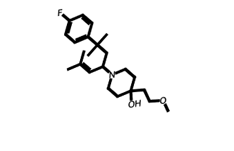 COCCC1(O)CCN(C(C=C(C)C)CC(C)(C)c2ccc(F)cc2)CC1